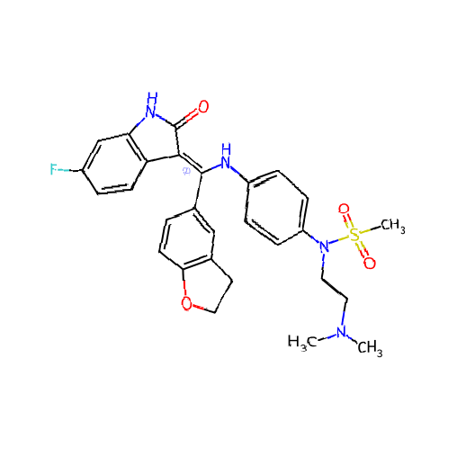 CN(C)CCN(c1ccc(N/C(=C2\C(=O)Nc3cc(F)ccc32)c2ccc3c(c2)CCO3)cc1)S(C)(=O)=O